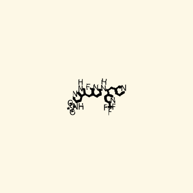 CS(=O)(=O)Nc1cnc2[nH]cc(Cc3ccc(NC(Cc4cccnc4)c4ccc(C(F)(F)F)nc4)nc3F)c2c1